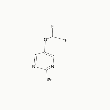 CC(C)c1ncc(OC(F)F)cn1